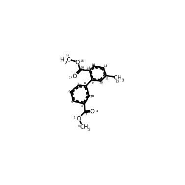 COC(=O)c1cccc(-c2cc(C)ccc2C(=O)OC)c1